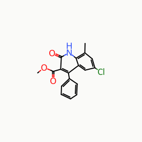 COC(=O)c1c(-c2ccccc2)c2cc(Cl)cc(C)c2[nH]c1=O